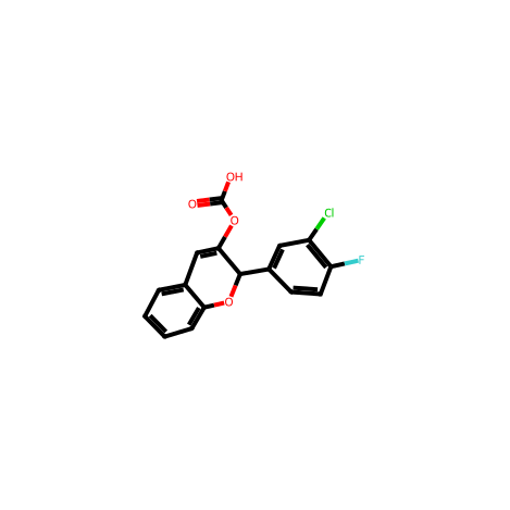 O=C(O)OC1=Cc2ccccc2OC1c1ccc(F)c(Cl)c1